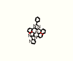 c1ccc(-c2nc(-c3ccccc3)c(N3c4ccccc4-n4c5cccnc5c5nccc3c54)c(-c3ccccc3)n2)cc1